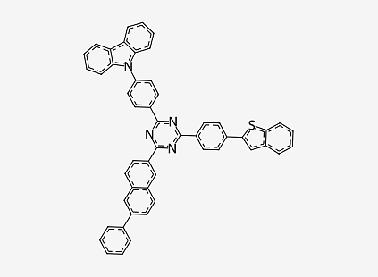 c1ccc(-c2ccc3cc(-c4nc(-c5ccc(-c6cc7ccccc7s6)cc5)nc(-c5ccc(-n6c7ccccc7c7ccccc76)cc5)n4)ccc3c2)cc1